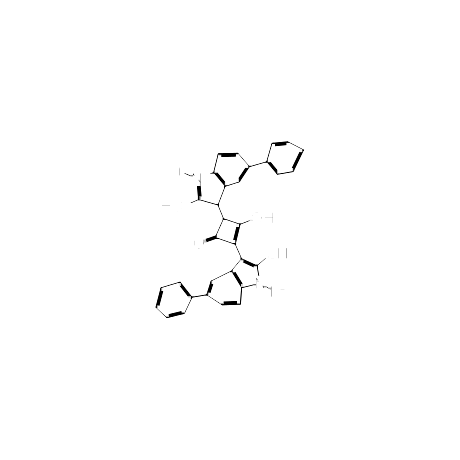 CCn1c(C)c(C2=C(O)C(C3C(C)=[N+](CC)c4ccc(-c5ccccc5)cc43)C2=O)c2cc(-c3ccccc3)ccc21